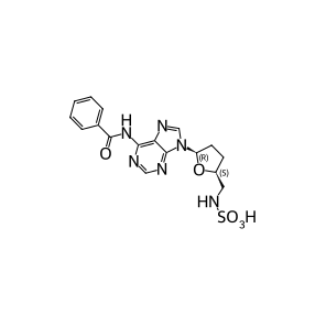 O=C(Nc1ncnc2c1ncn2[C@H]1CC[C@@H](CNS(=O)(=O)O)O1)c1ccccc1